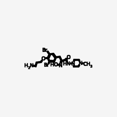 CN1CCN(NC(=O)C(Cc2cc(Br)c(OCCCN)c(Br)c2)=NO)CC1